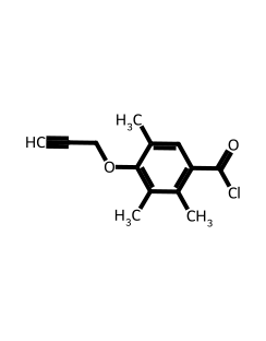 C#CCOc1c(C)cc(C(=O)Cl)c(C)c1C